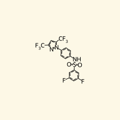 O=S(=O)(Nc1ccc(-n2nc(C(F)(F)F)cc2C(F)(F)F)cc1)c1cc(F)cc(F)c1